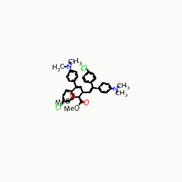 COC(=O)C(C(=O)OC)C(C=C(c1ccc(Cl)cc1)c1ccc(N(C)C)cc1)C=C(c1ccc(Cl)cc1)c1ccc(N(C)C)cc1